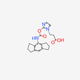 O=C(O)CCn1ccnc1OC(=O)Nc1c2c(cc3c1CCC3)CCC2